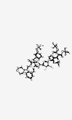 C[C@H]1[C@H](F)[C@H](n2cnc3c(N(C(=O)OC(C)(C)C)C(=O)OC(C)(C)C)nc(Cl)nc32)O[C@@H]1COC(Cc1cccc(OC(F)(F)F)c1)(C(=O)OCCN1CCOCC1)C(=O)OCc1ccccc1